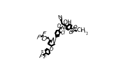 CCS(=O)(=O)c1ccc([C@@](O)(CC#N)NC(=O)c2ccc(N3C[C@H](Oc4ccc(C(F)(F)F)cc4)C[C@H]3COC(F)F)cc2Cl)cc1